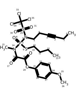 CCC#CCCN(P(=O)(SCCCC)N(C)C(=O)C(=O)Oc1ccc(OC)cc1)S(=O)(=O)C(Cl)(Cl)Cl